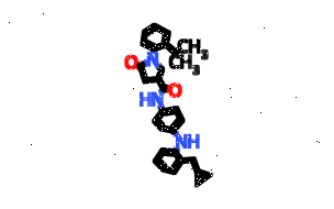 CC(C)c1ccccc1N1CC(C(=O)Nc2ccc(Nc3ccccc3CC3CC3)cc2)CC1=O